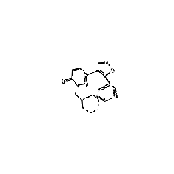 O=c1ccc(-c2cnoc2-c2ccccc2)nn1CC1CCCCC1